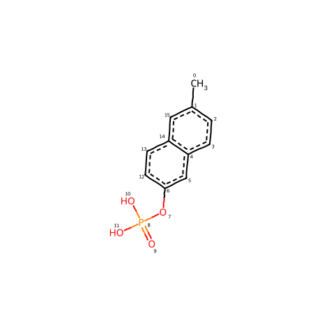 Cc1ccc2cc(OP(=O)(O)O)ccc2c1